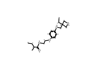 CCC(C)C(=O)OCCOc1ccc(OCC2(CC)COC2)cc1